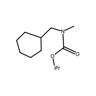 CC(C)OC(=O)N(C)CC1CCCCC1